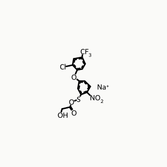 O=C(CO)OSc1cc(Oc2ccc(C(F)(F)F)cc2Cl)ccc1[N+](=O)[O-].[Na+]